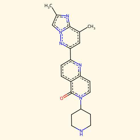 Cc1cn2nc(-c3ccc4c(=O)n(C5CCNCC5)ccc4n3)cc(C)c2n1